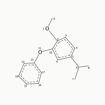 COc1ccc(C(C)C)cc1Oc1ccccc1